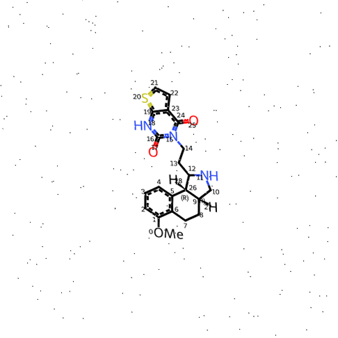 COc1cccc2c1CC[C@H]1CNC(CCn3c(=O)[nH]c4sccc4c3=O)[C@@H]21